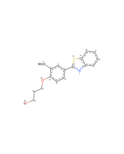 COc1cc(-c2nc3ccccc3s2)ccc1OCCCBr